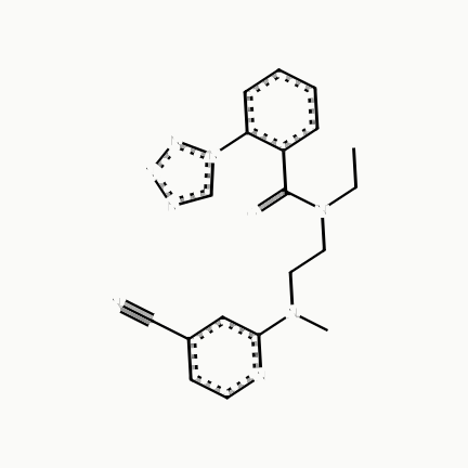 CCN(CCN(C)c1cc(C#N)ccn1)C(=O)c1ccccc1-n1cnnn1